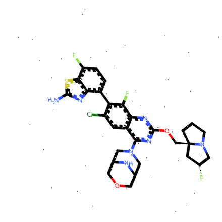 Nc1nc2c(-c3c(Cl)cc4c(N5CC6COCC(C5)N6)nc(OC[C@@]56CCCN5C[C@H](F)C6)nc4c3F)ccc(F)c2s1